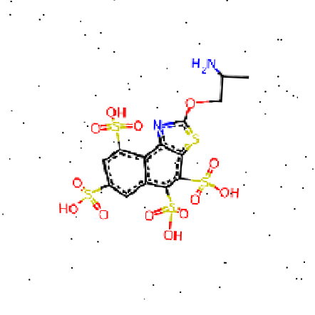 CC(N)COc1nc2c(s1)c(S(=O)(=O)O)c(S(=O)(=O)O)c1cc(S(=O)(=O)O)cc(S(=O)(=O)O)c12